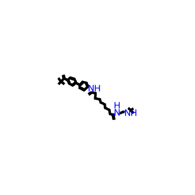 C=C(CCCCCCCCC(=C)Nc1ccc(-c2ccc(C(=C)C(C)(C)C)cc2)cc1)NCCNC(C)(C)C